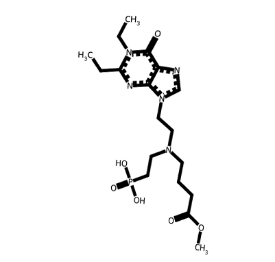 CCc1nc2c(ncn2CCN(CCCC(=O)OC)CCP(=O)(O)O)c(=O)n1CC